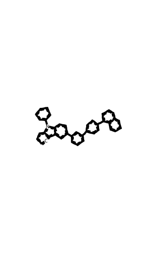 c1ccc(-n2c3ccccc3c3cc(-c4cccc(-c5ccc(-c6cccc7ccccc67)cc5)c4)ccc32)cc1